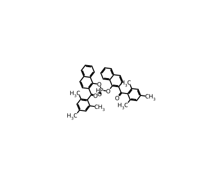 Cc1cc(C)c(C(=O)c2ccc3ccccc3c2O[PH](=O)Oc2c(C(=O)c3c(C)cc(C)cc3C)ccc3ccccc23)c(C)c1